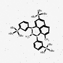 CCCC[Si](CCCC)(CCCC)c1cccc(P(c2cccc([Si](CCCC)(CCCC)CCCC)c2)N(C)P(c2cccc([Si](CCCC)(CCCC)CCCC)c2)c2ccccc2C)c1